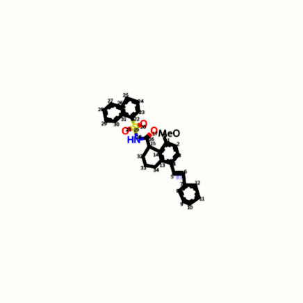 COc1ccc(/C=C/c2ccccc2)c2c1C(C(=O)NS(=O)(=O)c1cccc3ccccc13)CCC2